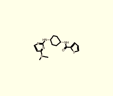 CN(C)c1ccnc(N[C@H]2CC[C@@H](NC(=O)c3cccs3)CC2)n1